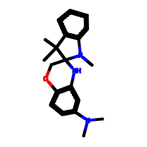 CN(C)c1ccc2c(c1)NC1(CO2)N(C)c2ccccc2C1(C)C